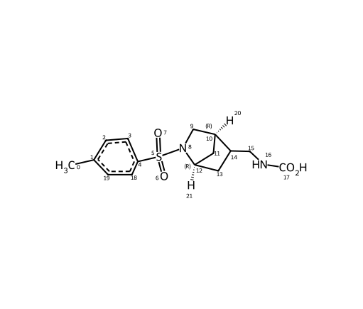 Cc1ccc(S(=O)(=O)N2C[C@@H]3C[C@H]2CC3CNC(=O)O)cc1